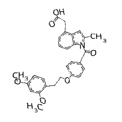 COc1ccc(CCOc2ccc(C(=O)n3c(C)cc4c(CC(=O)O)cccc43)cc2)c(OC)c1